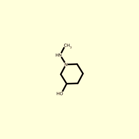 CNN1CCCC(O)C1